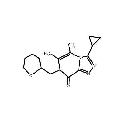 Cc1c(C)n2c(C3CC3)nnc2c(=O)n1CC1CCCCO1